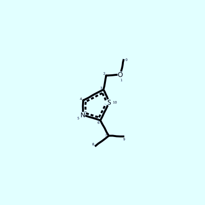 COCc1cnc(C(C)C)s1